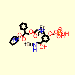 CC[N+](CC)(CC(=O)OCC(C(=O)OC1CC2CCC(C1)[N+]2(C)C(C)C)c1ccccc1)Cc1cc(C(O)CNC(C)(C)C)ccc1OCOP(=O)(O)O